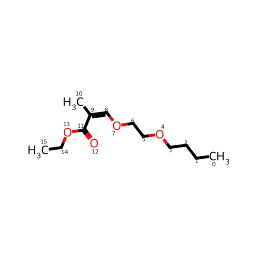 CCCCOCCOC=C(C)C(=O)OCC